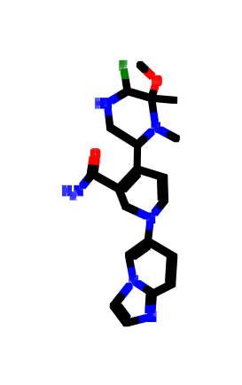 COC1(C)C(F)NCC(C2=C(C(N)=O)CN(c3ccc4nccn4c3)C=C2)N1C